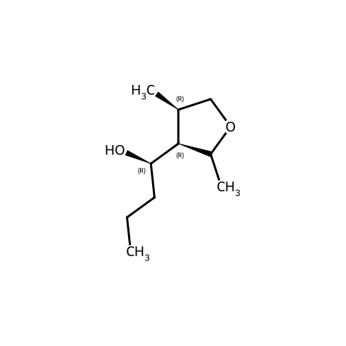 CCC[C@@H](O)[C@@H]1C(C)OC[C@@H]1C